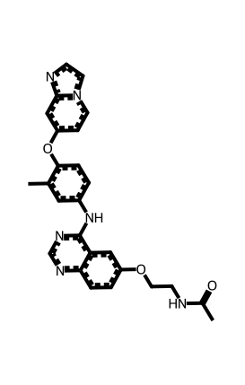 CC(=O)NCCOc1ccc2ncnc(Nc3ccc(Oc4ccn5ccnc5c4)c(C)c3)c2c1